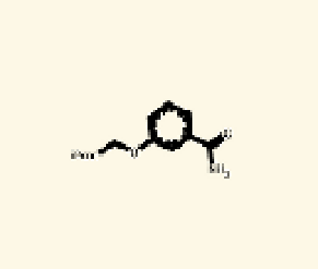 CCCC(C)COc1cccc(C(N)=O)c1